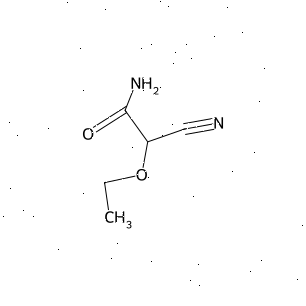 CCOC(C#N)C(N)=O